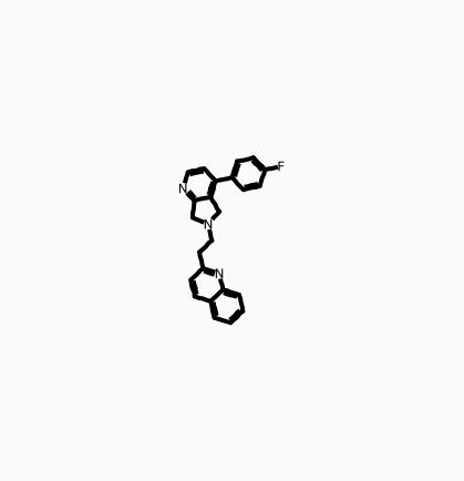 Fc1ccc(-c2ccnc3c2CN(CCc2ccc4ccccc4n2)C3)cc1